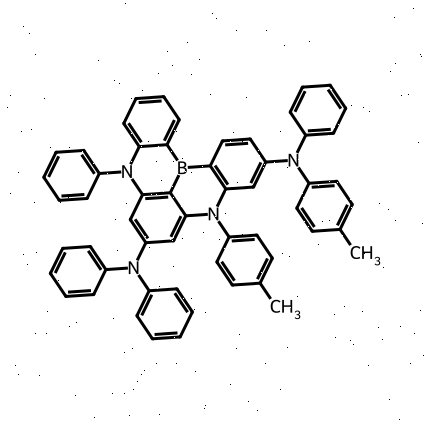 Cc1ccc(N(c2ccccc2)c2ccc3c(c2)N(c2ccc(C)cc2)c2cc(N(c4ccccc4)c4ccccc4)cc4c2B3c2ccccc2N4c2ccccc2)cc1